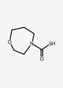 O=C(S)N1CCCOCC1